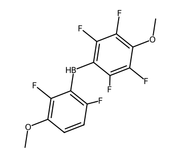 COc1ccc(F)c(Bc2c(F)c(F)c(OC)c(F)c2F)c1F